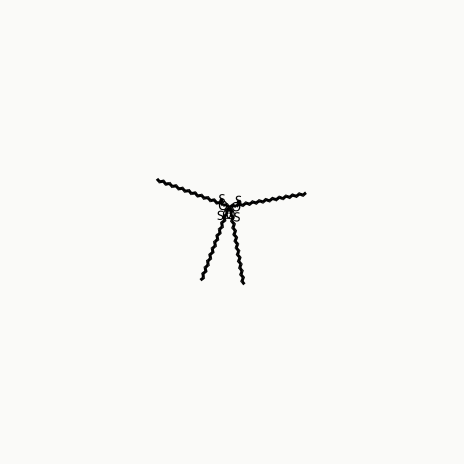 CCCCCCCCCCCCCCCCCCCCC(=S)OCC(COC(=S)CCCCCCCCCCCCCCCCCCCC)(COC(=S)CCCCCCCCCCCCCCCCCCCC)COC(=S)CCCCCCCCCCCCCCCCCCCC